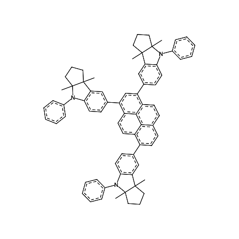 CC12CCCC1(C)N(c1ccccc1)c1ccc(-c3ccc4ccc5c(-c6ccc7c(c6)C6(C)CCCC6(C)N7c6ccccc6)cc(-c6ccc7c(c6)C6(C)CCCC6(C)N7c6ccccc6)c6ccc3c4c56)cc12